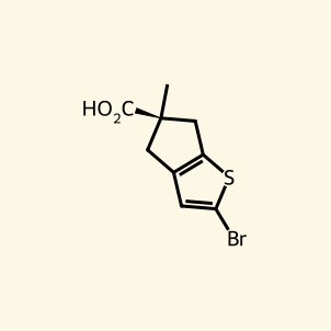 C[C@@]1(C(=O)O)Cc2cc(Br)sc2C1